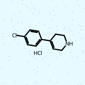 Cl.Clc1ccc(C2=CCNCC2)cc1